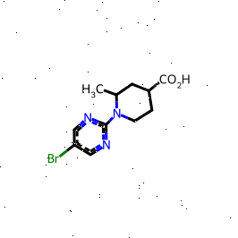 CC1CC(C(=O)O)CCN1c1ncc(Br)cn1